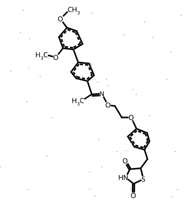 COc1ccc(-c2ccc(C(C)=NOCCOc3ccc(CC4SC(=O)NC4=O)cc3)cc2)c(OC)c1